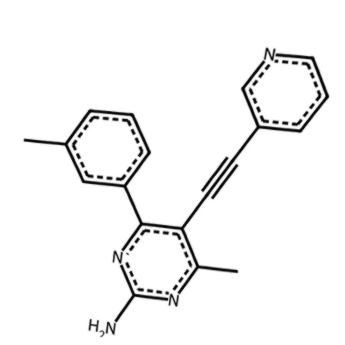 Cc1cccc(-c2nc(N)nc(C)c2C#Cc2cccnc2)c1